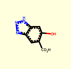 O=C(O)c1cc2nn[nH]c2cc1O